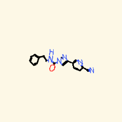 N#Cc1ccc(-c2cn(C(=O)NCCc3ccccc3)cn2)cn1